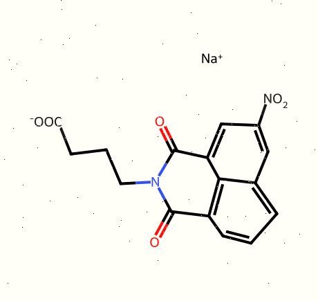 O=C([O-])CCCN1C(=O)c2cccc3cc([N+](=O)[O-])cc(c23)C1=O.[Na+]